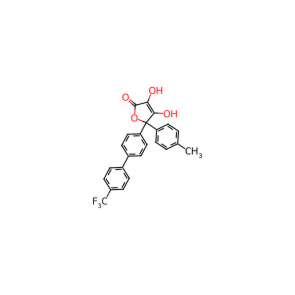 Cc1ccc(C2(c3ccc(-c4ccc(C(F)(F)F)cc4)cc3)OC(=O)C(O)=C2O)cc1